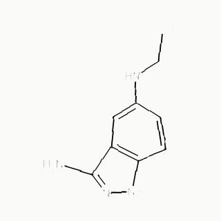 CCNc1ccc2[nH]nc(N)c2c1